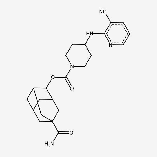 N#Cc1cccnc1NC1CCN(C(=O)OC2C3CC4CC2CC(C(N)=O)(C4)C3)CC1